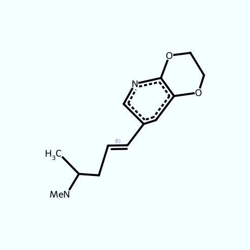 CNC(C)C/C=C/c1cnc2c(c1)OCCO2